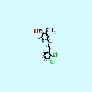 Cc1cc(C/C=C/c2cccc(Cl)c2Cl)ccc1O